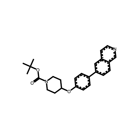 CC(C)(C)OC(=O)N1CCC(Oc2ccc(-c3ccc4cnccc4c3)cc2)CC1